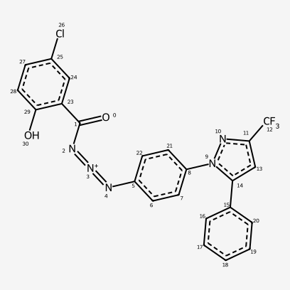 O=C(N=[N+]=Nc1ccc(-n2nc(C(F)(F)F)cc2-c2ccccc2)cc1)c1cc(Cl)ccc1O